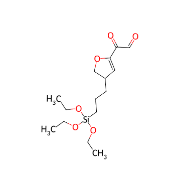 CCO[Si](CCCC1C=C(C(=O)C=O)OC1)(OCC)OCC